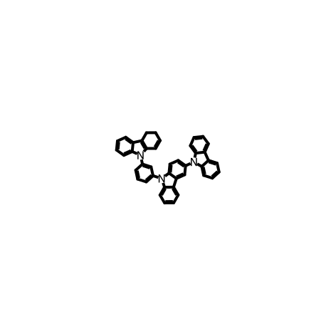 C1=Cc2c(c3ccccc3n2-c2cccc(-n3c4ccccc4c4cc(-n5c6ccccc6c6ccccc65)ccc43)c2)CC1